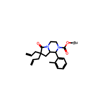 C=CCC1(CC=C)CC2C(c3ccccc3C)N(C(=O)OC(C)(C)C)CCN2C1=O